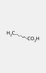 C=CCCCC=CCC(=O)O